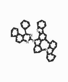 c1ccc(-c2nc(-n3c4cccc5c4c4c(cc6c7ccccc7sc6c43)c3cccc4c6ccccc6n5c34)nc3ccc4ccccc4c23)cc1